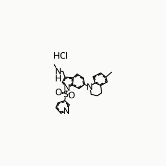 CNCc1cn(S(=O)(=O)c2cccnc2)c2cc(N3CCCc4cc(C)ccc43)ccc12.Cl